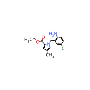 CCOC(=O)c1cc(C)cn1Cc1cc(Cl)ccc1N